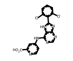 O=C(O)c1cc(Nc2ncnc3nc(-c4c(Cl)cccc4Cl)[nH]c23)ccn1